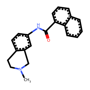 CN1CCc2ccc(NC(=O)c3cccc4ccccc34)cc2C1